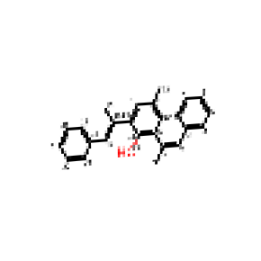 CC(=Cc1ccccc1)c1cc(C)cc(C(C)=Cc2ccccc2)c1O